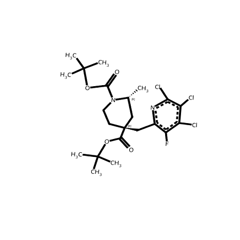 C[C@@H]1C[C@](Cc2nc(Cl)c(Cl)c(Cl)c2F)(C(=O)OC(C)(C)C)CCN1C(=O)OC(C)(C)C